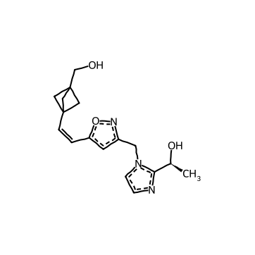 C[C@H](O)c1nccn1Cc1cc(/C=C\C23CC(CO)(C2)C3)on1